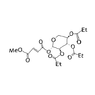 CCC(=O)O[C@@H]1[C@@H](OC(=O)CC)[C@H](OC(=O)/C=C/C(=O)OC)OC[C@H]1OC(=O)CC